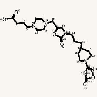 O=C(O)CCCN1CCN(CC2CN(CCCC3CCN(c4noc(=O)[nH]4)CC3)C(=O)O2)CC1